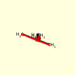 CCCCCCCCCC=CC=CC=CC=CC=CC=CC(=O)O[C@H](COCCCCCCCCCCCCCCCC)COP(=O)([O-])OCC[N+](C)(C)C